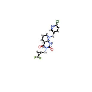 O=c1nc2n(Cc3ccc(Cl)nc3)cccc-2c(=O)n1CC1CC1(F)F